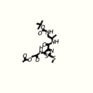 CSc1nc(C(=O)NC(C)CNC(=O)OC(C)(C)C)c(NC(=O)COC(C)=O)s1